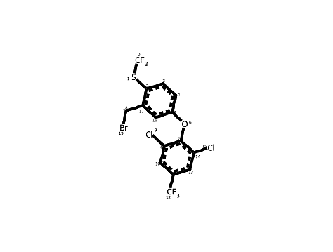 FC(F)(F)Sc1ccc(Oc2c(Cl)cc(C(F)(F)F)cc2Cl)cc1CBr